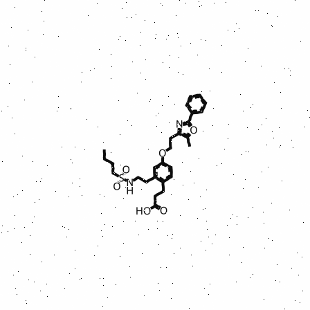 CCCCS(=O)(=O)NCCc1cc(OCCc2nc(-c3ccccc3)oc2C)ccc1CCC(=O)O